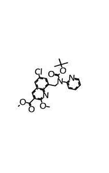 COC(=O)c1cc2cc(Cl)cc(CN(C(=O)OC(C)(C)C)c3ccccn3)c2nc1OC